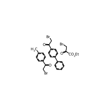 CCOC(=O)C(=O)CBr.Cc1ccc(C(=O)CBr)cc1.O=C(CBr)c1ccc(-c2ccccc2)cc1